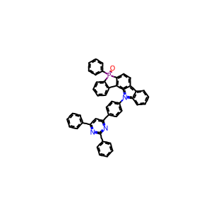 O=P1(c2ccccc2)c2ccccc2-c2c1ccc1c3ccccc3n(-c3ccc(-c4cc(-c5ccccc5)nc(-c5ccccc5)n4)cc3)c21